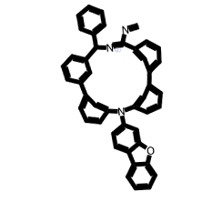 C=N/C1=N\C(c2ccccc2)c2cccc(c2)-c2cccc(c2)N(c2ccc3c(c2)oc2ccccc23)c2cccc(c2)-c2cccc1c2